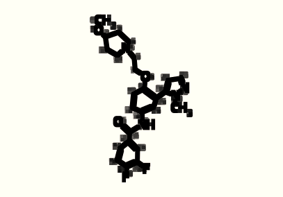 COC1CCN(CCOc2ccc(NC(=O)c3ccc(F)c(F)c3)cc2-c2ccnn2C)CC1